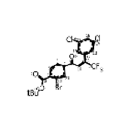 CC(C)(C)OC(=O)c1ccc(C(=O)C=C(c2cc(Cl)cc(Cl)c2)C(F)(F)F)cc1Br